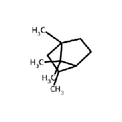 CC1CC2(C)CCC1C2(C)C